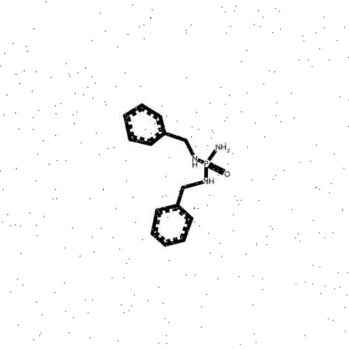 NP(=O)(NCc1ccccc1)NCc1ccccc1